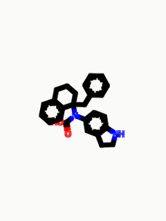 O=C(O)N(c1ccc2c(c1)CCN2)C1(Cc2ccccc2)CCCc2ccccc21